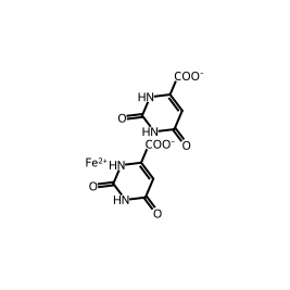 O=C([O-])c1cc(=O)[nH]c(=O)[nH]1.O=C([O-])c1cc(=O)[nH]c(=O)[nH]1.[Fe+2]